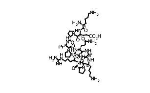 CC(C)[C@H](NC(=O)[C@@H]1CCCN1C(=O)[C@H](CCC(=O)O)NC(=O)[C@@H](N)CCCCN)C(=O)N1CCC[C@H]1C(=O)N[C@@H](CCC(N)=O)C(=O)N[C@@H](C)C(=O)N[C@@H](CCCCN)C(=O)N1CCC[C@H]1C(=O)N[C@@H](CCCNC(=N)N)C(=O)O